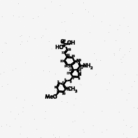 COc1ccc(CCc2cnc3c(N)nc4cc(C=CP(=O)(O)O)ccc4c3c2)c(C)c1